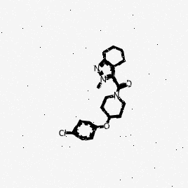 Cn1nc2c(c1C(=O)N1CCC(Oc3ccc(Cl)cc3)CC1)CCCC2